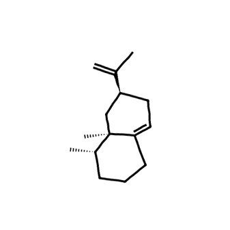 C=C(C)[C@H]1CC=C2CCC[C@H](C)[C@@]2(C)C1